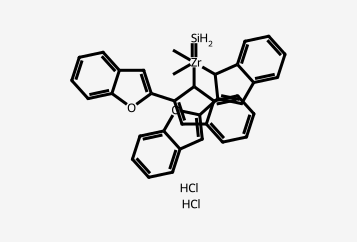 Cl.Cl.[CH3][Zr]([CH3])(=[SiH2])([CH]1C(c2cc3ccccc3o2)=Cc2ccccc21)[CH]1C(c2cc3ccccc3o2)=Cc2ccccc21